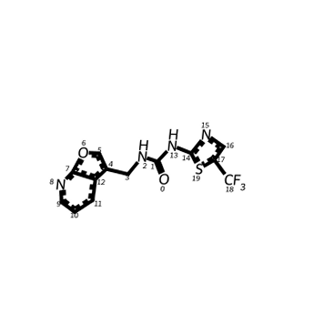 O=C(NCc1coc2ncccc12)Nc1ncc(C(F)(F)F)s1